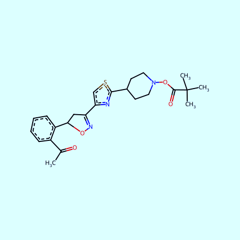 CC(=O)c1ccccc1C1CC(c2csc(C3CCN(OC(=O)C(C)(C)C)CC3)n2)=NO1